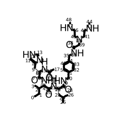 CCC(C)[C@H](NC(=O)[C@H](Cc1c[nH]cn1)NC(C)=O)C(=O)N[C@@H](CC(C)C)C(=O)NCc1ccc(CNC(=O)CN(CCNC)CCNC)cc1